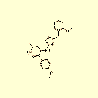 COc1ccc(C(=O)C(CC(C)N)Nc2nc(Cc3ccccc3OC)ns2)cc1